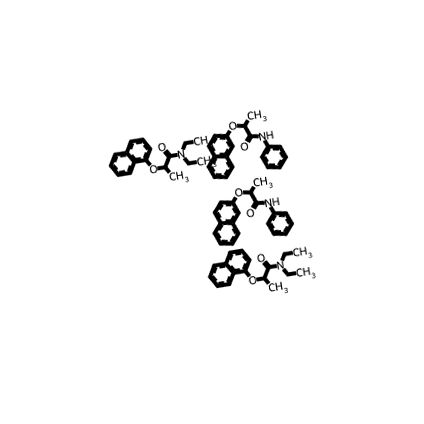 CC(Oc1ccc2ccccc2c1)C(=O)Nc1ccccc1.CC(Oc1ccc2ccccc2c1)C(=O)Nc1ccccc1.CCN(CC)C(=O)C(C)Oc1cccc2ccccc12.CCN(CC)C(=O)C(C)Oc1cccc2ccccc12